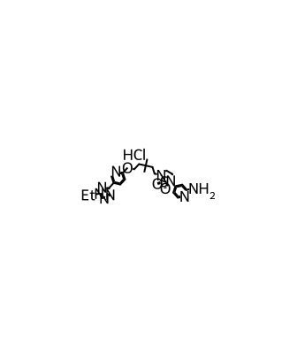 CCn1nnc(-c2ccc(OCCC(C)(C)CCN3CCN(c4ccnc(N)c4)S3(=O)=O)nc2)n1.Cl